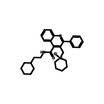 O=C(NCCC1CCCCC1)c1c(C[N+]2([O-])CCCCC2)c(-c2ccccc2)nc2ccccc12